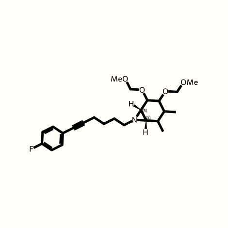 COCOC1C(C)C(C)[C@H]2[C@@H](C1OCOC)N2CCCCC#Cc1ccc(F)cc1